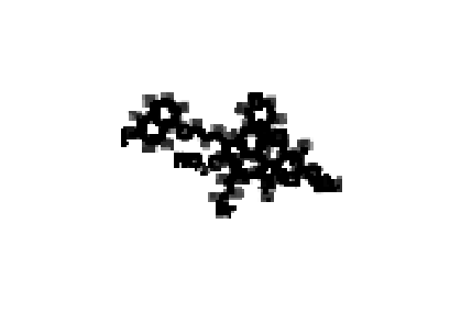 CCc1c(-c2c(Cl)ccc3c(CCCOc4cccc5cc(F)ccc45)c(C(=O)O)n(CCCCBr)c23)c(C(CCN2CCOCC2)N(C)C(=O)OC(C)(C)C)nn1C